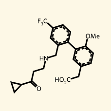 COc1ccc(CC(=O)O)cc1-c1ccc(C(F)(F)F)cc1CNCCC(=O)C1CC1